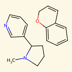 C1=Cc2ccccc2OC1.CN1CCCC1c1cccnc1